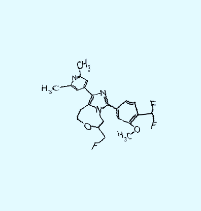 COc1cc(-c2nc(-c3cc(C)nc(C)c3)c3n2CC(CF)OCC3)ccc1C(F)F